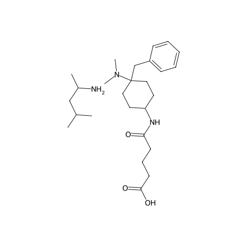 CC(C)CC(C)N.CN(C)C1(Cc2ccccc2)CCC(NC(=O)CCCC(=O)O)CC1